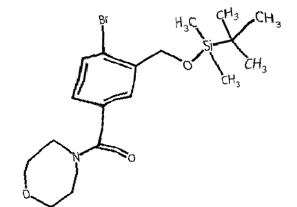 CC(C)(C)[Si](C)(C)OCc1cc(C(=O)N2CCOCC2)ccc1Br